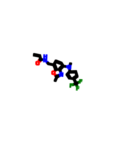 C=CC(=O)NCc1ccc(N(C)c2ccc(C(F)(F)F)cc2)c2nc(C)oc12